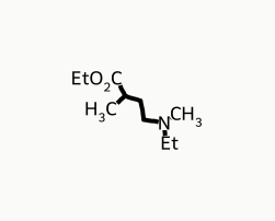 CCOC(=O)C(C)CCN(C)CC